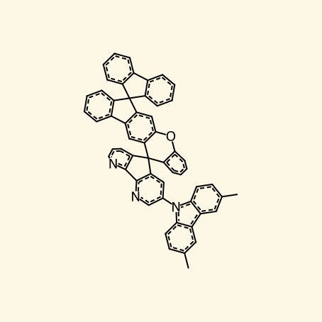 Cc1ccc2c(c1)c1cc(C)ccc1n2-c1cnc2c(c1)C1(c3ccccc3Oc3cc4c(cc31)-c1ccccc1C41c3ccccc3-c3ccccc31)c1cccnc1-2